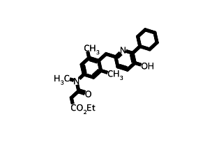 CCOC(=O)CC(=O)N(C)c1cc(C)c(Cc2ccc(O)c(C3CCCCC3)n2)c(C)c1